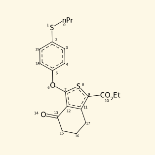 CCCSc1ccc(Oc2sc(C(=O)OCC)c3c2C(=O)CCC3)cc1